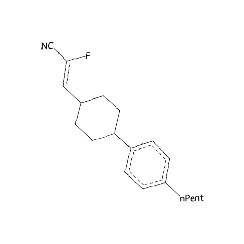 CCCCCc1ccc(C2CCC(C=C(F)C#N)CC2)cc1